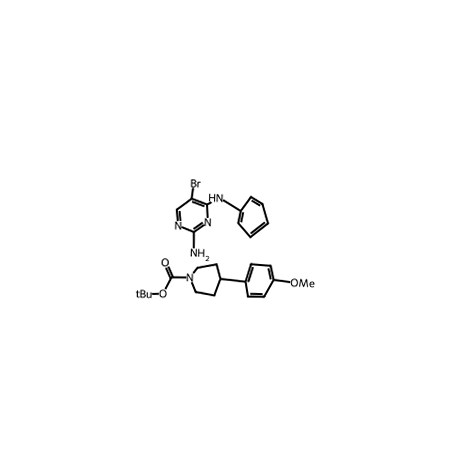 COc1ccc(C2CCN(C(=O)OC(C)(C)C)CC2)cc1.Nc1ncc(Br)c(Nc2ccccc2)n1